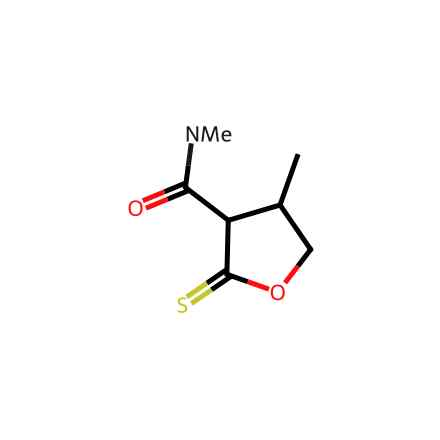 CNC(=O)C1C(=S)OCC1C